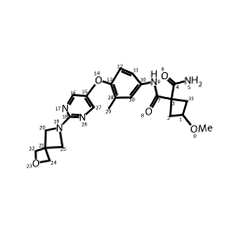 COC1CC(C(N)=O)(C(=O)Nc2ccc(Oc3cnc(N4CC5(COC5)C4)nc3)c(C)c2)C1